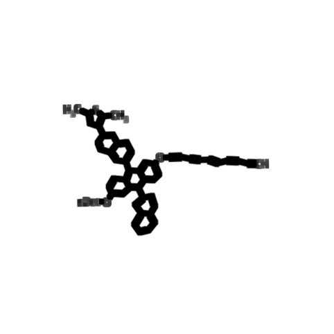 C#CC#CC#CC#CC#COc1ccc2c(-c3ccc4ccccc4c3)c3cc(OCCCCCCCCCC)ccc3c(-c3ccc4cc(-c5cc(C)sc5C)ccc4c3)c2c1